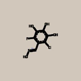 O/N=C/c1c(F)c(O)c(O)c(O)c1Cl